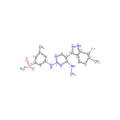 CNc1nc(Nc2cc(C)cc(S(C)(=O)=O)c2)ncc1-c1n[nH]c2c(F)c(C)ccc12